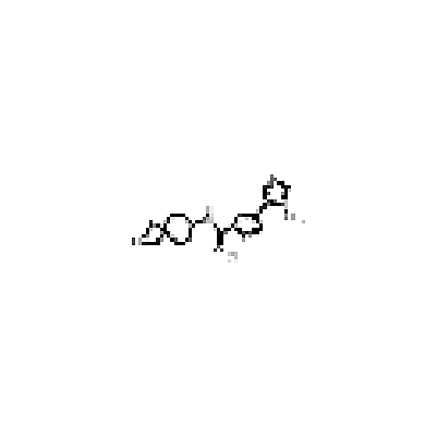 Cl.Cn1cncc1-c1csc(C(=O)NC2CCC3(CC2)CNC3)n1